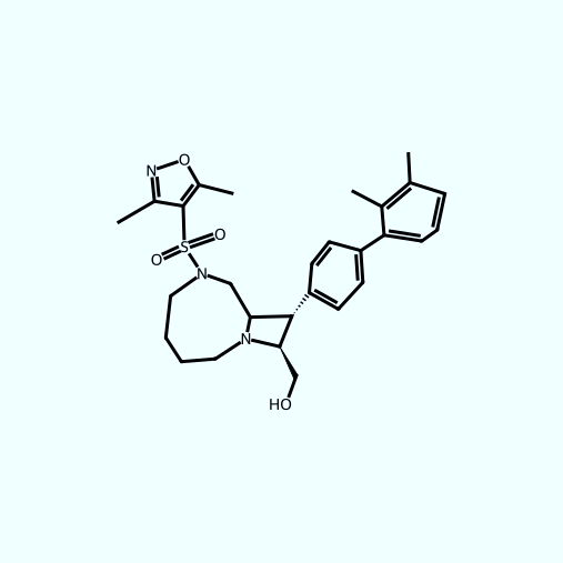 Cc1cccc(-c2ccc([C@H]3C4CN(S(=O)(=O)c5c(C)noc5C)CCCCN4[C@@H]3CO)cc2)c1C